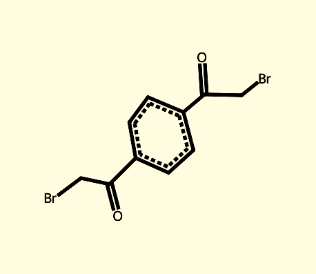 O=C(CBr)c1ccc(C(=O)CBr)cc1